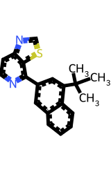 CC(C)(C)c1cc(-c2nccc3ncsc23)cc2ccccc12